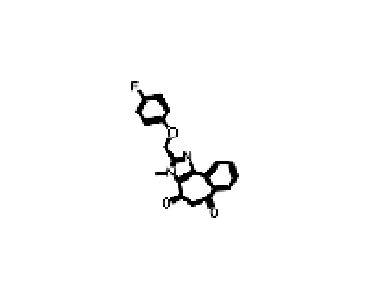 Cn1c(COc2ccc(F)cc2)nc2c1C(=O)CC(=O)c1ccccc1-2